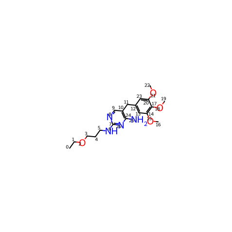 CCOCCCNc1ncc(Cc2cc(OC)c(OC)c(OC)c2)c(N)n1